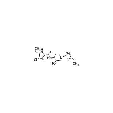 CCc1nnc(N2CCC(NC(=O)c3nc(Cl)c(CC)[nH]3)C(O)C2)s1